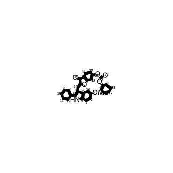 COc1ccc2[nH]c(-c3ccccc3)c(C=C3Oc4cc(OC(=O)Oc5ccccc5)ccc4C3=O)c2c1